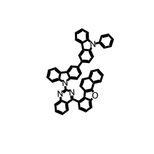 c1ccc(-n2c3ccccc3c3cc(-c4ccc5c(c4)c4ccccc4n5-c4nc(-c5cccc6oc7c8ccccc8ccc7c56)c5ccccc5n4)ccc32)cc1